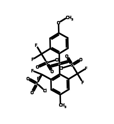 COc1ccc(S(=O)(=O)c2c(C(F)(F)S(=O)(=O)Cl)cc(C)cc2C(F)(F)S(=O)(=O)Cl)c(C(F)(F)S(=O)(=O)Cl)c1